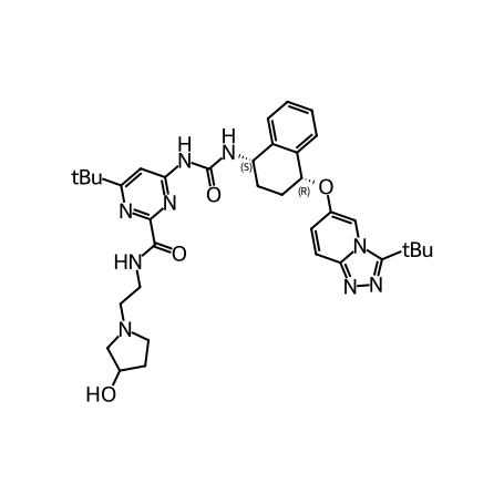 CC(C)(C)c1cc(NC(=O)N[C@H]2CC[C@@H](Oc3ccc4nnc(C(C)(C)C)n4c3)c3ccccc32)nc(C(=O)NCCN2CCC(O)C2)n1